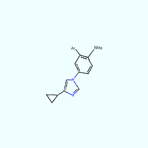 CNc1ccc(-n2cnc(C3CC3)c2)cc1C(C)=O